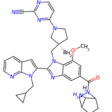 B[C@@]1(Cn2c(-c3cc4cccnc4n3CC3CC3)nc3cc(C(=O)N4CC5CCC4[C@@H]5N)cc(OC)c32)CCN(c2ccnc(C#N)n2)C1